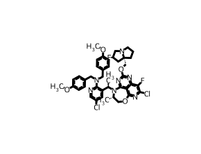 COc1ccc(CN(Cc2ccc(OC)cc2)c2ncc(Cl)cc2[C@@H](C)N2c3nc(OC[C@@]45CCCN4C[C@H](F)C5)nc4c(F)c(Cl)nc(c34)OC[C@@H]2C)cc1